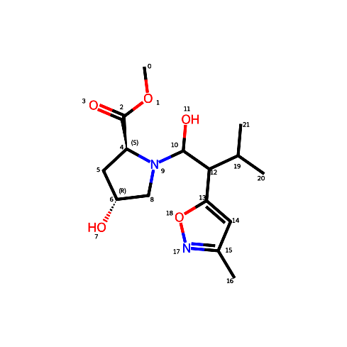 COC(=O)[C@@H]1C[C@@H](O)CN1C(O)C(c1cc(C)no1)C(C)C